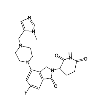 Cn1cncc1CN1CCN(c2cc(F)cc3c2CN(C2CCC(=O)NC2=O)C3=O)CC1